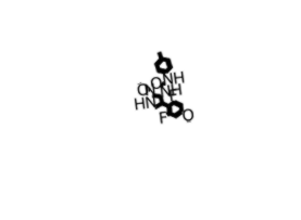 CO/N=C1\NCC(c2c(F)cc(OC)cc2F)C1NC(=O)Nc1ccc(C)cc1